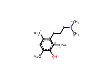 COc1cc(C(=O)O)c(CCCN(C)C)c(OC)c1O